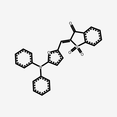 O=C1/C(=C/c2ccc(N(c3ccccc3)c3ccccc3)o2)S(=O)(=O)c2ccccc21